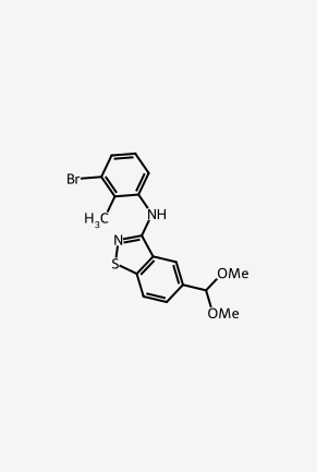 COC(OC)c1ccc2snc(Nc3cccc(Br)c3C)c2c1